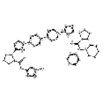 Cc1cc(CC(=O)N2CCC[C@H]2c2ncc(-c3ccc(-c4ccc(-c5cnc([C@@H]6CCCN6C(=O)[C@@H](c6ccccc6)N6CCCCC6)[nH]5)cc4)cc3)[nH]2)n[nH]1